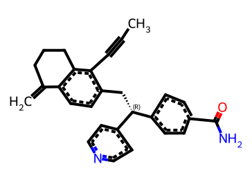 C=C1CCCc2c1ccc(C[C@@H](c1ccncc1)c1ccc(C(N)=O)cc1)c2C#CC